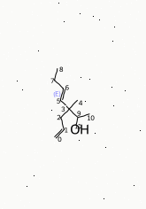 C=CCC(C)(/C=C/CC)C(C)O